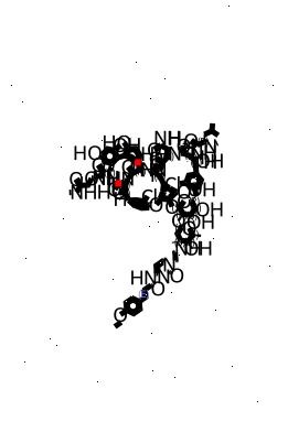 CCOc1ccc(/C=C/C(=O)Nc2ccn(CCN[C@@]3(C)C[C@H](O[C@H]4[C@H](Oc5c6cc7cc5Oc5ccc(cc5Cl)[C@@H](O)[C@@H](NC(=O)[C@@H](CC(C)C)NC)C(=O)N[C@@H](CC(N)=O)C(=O)N[C@H]7C(=O)N[C@H]5C(=O)N[C@H](C(=O)N[C@@H](C(=O)NOCC(=O)NC)c7cc(O)cc(O)c7-c7cc5ccc7O)[C@H](O)c5ccc(c(Cl)c5)O6)O[C@H](CO)[C@@H](O)[C@@H]4O)O[C@@H](C)[C@H]3O)c(=O)n2)cc1